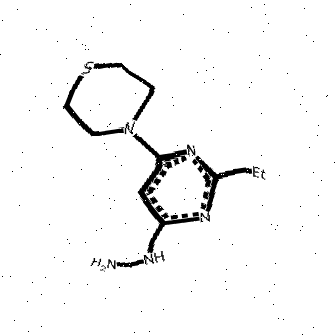 CCc1nc(NN)cc(N2CCSCC2)n1